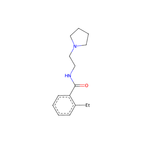 CCc1ccccc1C(=O)NCCN1CCCC1